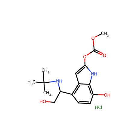 COC(=O)Oc1cc2c(C(CO)NC(C)(C)C)ccc(O)c2[nH]1.Cl